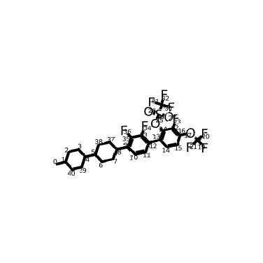 CC1CCC(C2CCC(c3ccc(-c4ccc(OC(F)(F)F)c(F)c4OS(=O)(=O)C(F)(F)F)c(F)c3F)CC2)CC1